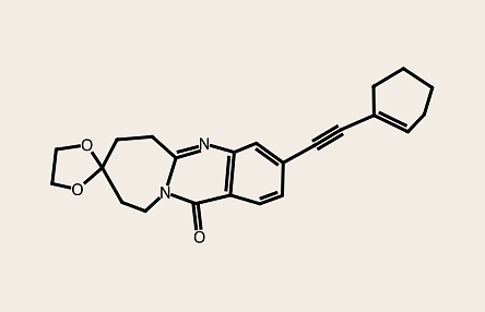 O=c1c2ccc(C#CC3=CCCCC3)cc2nc2n1CCC1(CC2)OCCO1